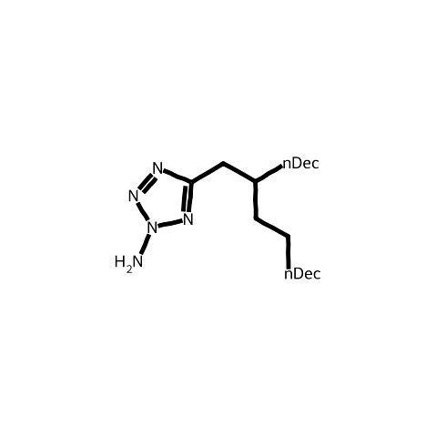 CCCCCCCCCCCCC(CCCCCCCCCC)Cc1nnn(N)n1